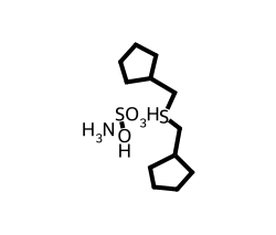 C1CCC(CSCC2CCCC2)C1.N.O=S(=O)(O)O